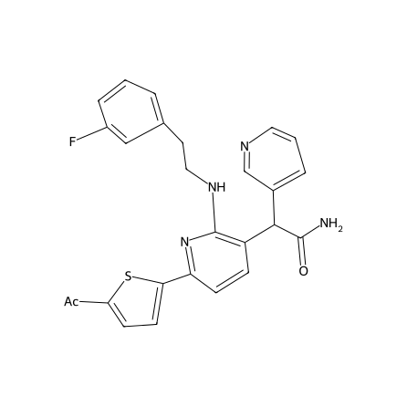 CC(=O)c1ccc(-c2ccc(C(C(N)=O)c3cccnc3)c(NCCc3cccc(F)c3)n2)s1